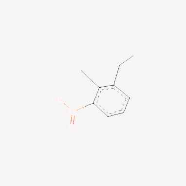 CCc1cccc([PH](=O)O)c1C